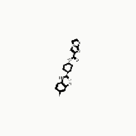 O=C(N[C@H]1CC[C@H](C(=O)Nc2ccc(F)cc2Cl)CC1)c1cn2ccsc2n1